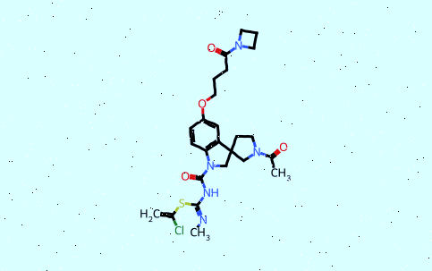 C=C(Cl)S/C(=N\C)NC(=O)N1CC2(CCN(C(C)=O)C2)c2cc(OCCCC(=O)N3CCC3)ccc21